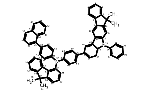 CC1(C)c2ccccc2-c2cc3c(cc21)N(c1ccccc1)C1CC=C(c2ccc(N(c4ccc(-c5cccc6ccccc56)cc4)c4cccc5c4-c4ccccc4C5(C)C)cc2)C=C31